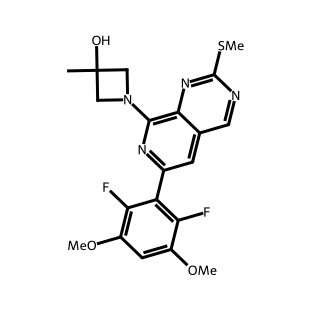 COc1cc(OC)c(F)c(-c2cc3cnc(SC)nc3c(N3CC(C)(O)C3)n2)c1F